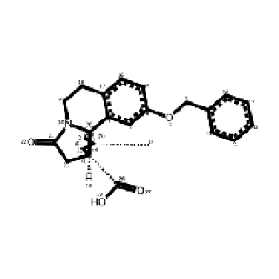 C[C@H]1C[C@@]23c4cc(OCc5ccccc5)ccc4CCN2C(=O)C[C@H]3[C@@H]1C(=O)O